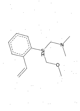 C=Cc1ccccc1[SiH](COC)CN(C)C